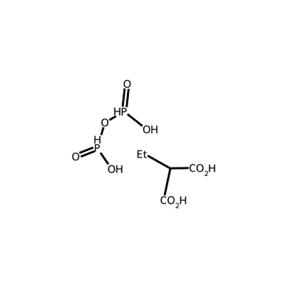 CCC(C(=O)O)C(=O)O.O=[PH](O)O[PH](=O)O